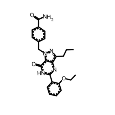 CCCc1nn(Cc2ccc(C(N)=O)cc2)c2c(=O)[nH]c(-c3ccccc3OCC)nc12